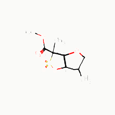 COC(=O)C1(C)C2OCC(C)C2OS1(=O)=O